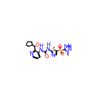 Cn1nnnc1S(=O)(=O)c1cnc(NC(=O)Nc2cccnc2C(=O)C2CCCC2)s1